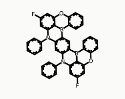 Fc1cc2c3c(c1)N(c1ccccc1)c1cc4c(cc1B3c1ccccc1O2)B1c2ccccc2Oc2cc(F)cc(c21)N4c1ccccc1